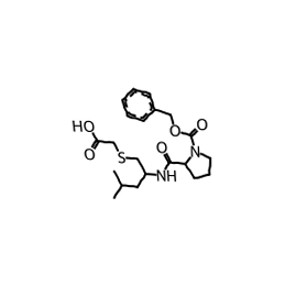 CC(C)CC(CSCC(=O)O)NC(=O)C1CCCN1C(=O)OCc1ccccc1